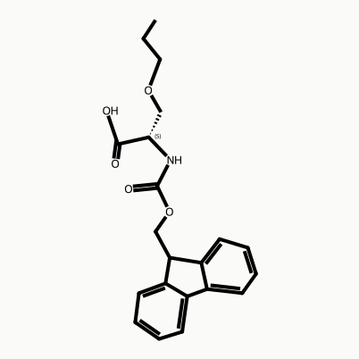 CCCOC[C@H](NC(=O)OCC1c2ccccc2-c2ccccc21)C(=O)O